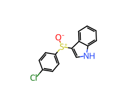 [O-][S+](c1ccc(Cl)cc1)c1c[nH]c2ccccc12